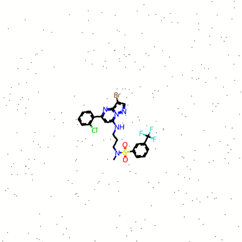 CN(CCCNc1cc(-c2ccccc2Cl)nc2c(Br)cnn12)S(=O)(=O)c1cccc(C(F)(F)F)c1